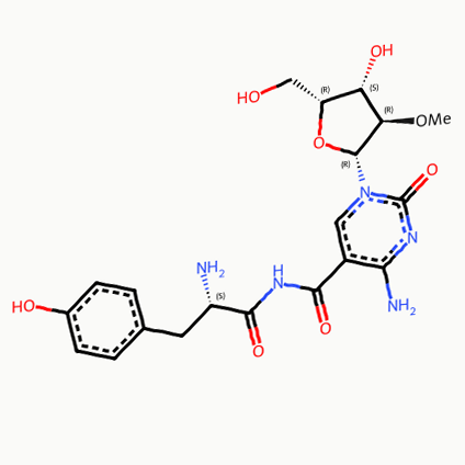 CO[C@@H]1[C@@H](O)[C@@H](CO)O[C@H]1n1cc(C(=O)NC(=O)[C@@H](N)Cc2ccc(O)cc2)c(N)nc1=O